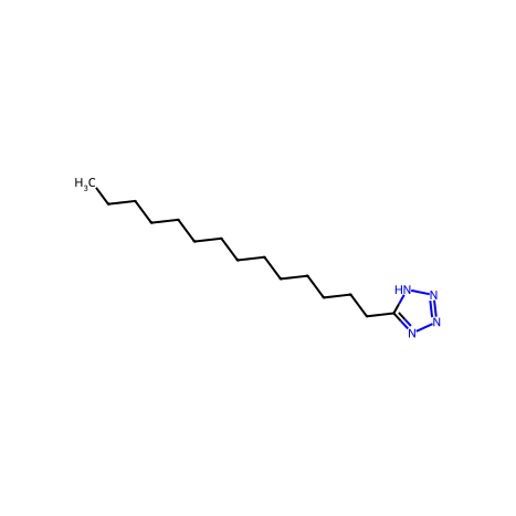 CCCCCCCCCCCCCCc1nnn[nH]1